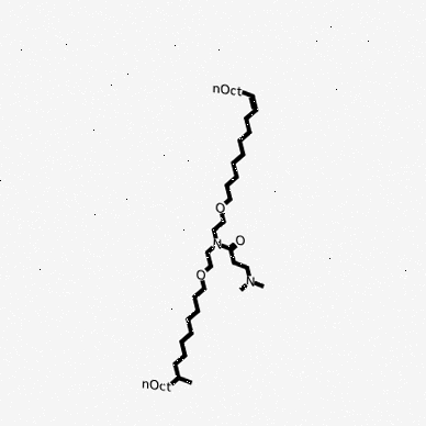 CCCCCCCC/C=C\CCCCCCCCOCCN(CCOCCCCCCCCC(C)CCCCCCCC)C(=O)CCN(C)C